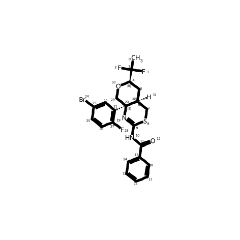 CC(F)(F)[C@H]1C[C@H]2CSC(NC(=O)c3ccccc3)=N[C@@]2(c2cc(Br)ccc2F)CO1